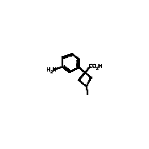 CC1CC(C(=O)O)(c2cccc(N)c2)C1